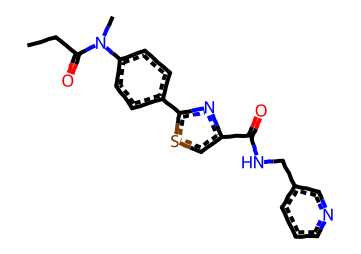 CCC(=O)N(C)c1ccc(-c2nc(C(=O)NCc3cccnc3)cs2)cc1